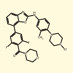 CCN1CCN(c2ccc(Nc3nc4cccc(-c5cc(F)c(C(=O)N6CCOCC6)c(F)c5)c4o3)cc2C)CC1